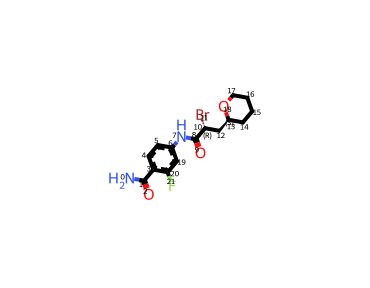 NC(=O)c1ccc(NC(=O)[C@H](Br)C[C@@H]2CCCCO2)cc1F